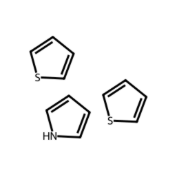 c1cc[nH]c1.c1ccsc1.c1ccsc1